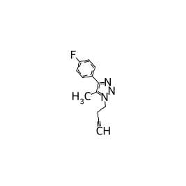 C#CCCn1nnc(-c2ccc(F)cc2)c1C